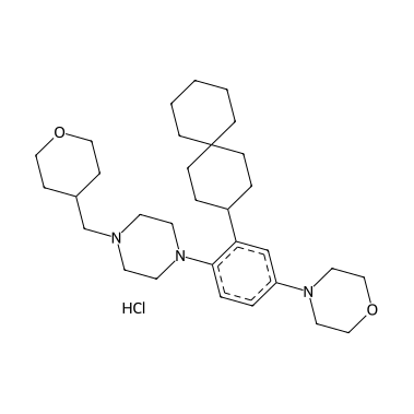 Cl.c1cc(N2CCN(CC3CCOCC3)CC2)c(C2CCC3(CCCCC3)CC2)cc1N1CCOCC1